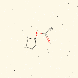 CCCC(=O)OC1CCCC1